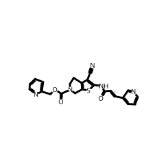 N#Cc1c(NC(=O)/C=C/c2cccnc2)sc2c1CCN(C(=O)OCc1ccccn1)C2